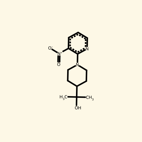 CC(C)(O)C1CCN(c2ncccc2[N+](=O)[O-])CC1